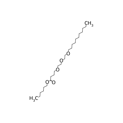 CCCCCCCCCCCOCCOCCOCCCC(=O)OCCCCCC